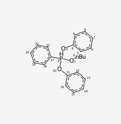 CCCCO[PH](Oc1ccccc1)(Oc1ccccc1)c1ccccc1